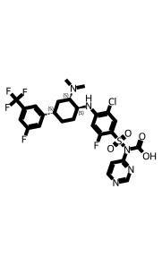 CN(C)[C@H]1C[C@@H](c2cc(F)cc(C(F)(F)F)c2)CC[C@@H]1Nc1cc(F)c(S(=O)(=O)N(C(=O)O)c2ccncn2)cc1Cl